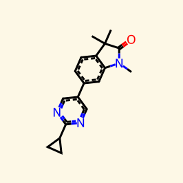 CN1C(=O)C(C)(C)c2ccc(-c3cnc(C4CC4)nc3)cc21